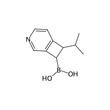 CC(C)C1c2ccncc2C1B(O)O